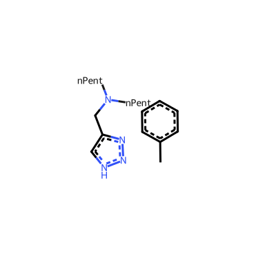 CCCCCN(CCCCC)Cc1c[nH]nn1.Cc1ccccc1